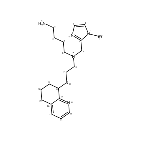 CC(C)n1ccnc1CN(CCCCN)CCSC1CCCc2cccnc21